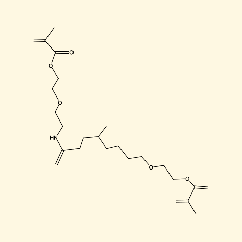 C=C(CCC(C)CCCCOCCOC(=C)C(=C)C)NCCOCCOC(=O)C(=C)C